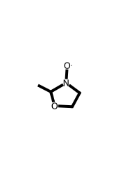 CC1OCCN1[O]